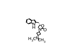 CN(C)C1CC(N2C[C@H](Cc3cc4ccccc4[nH]3)OC2=O)C1